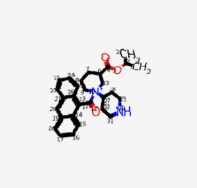 CC(C)OC(=O)C1CCC[N+](C(=O)c2c3ccccc3cc3ccccc23)(C2CCNCC2)C1